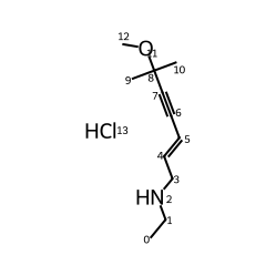 CCNC/C=C/C#CC(C)(C)OC.Cl